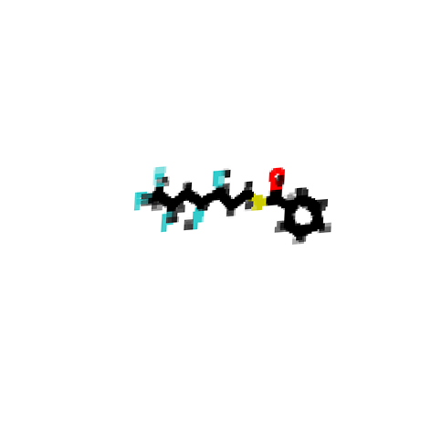 O=C(SCCC(F)C(F)CC(F)C(F)F)c1ccccc1